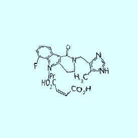 Cc1[nH]cnc1CN1CCc2c(c3cccc(F)c3n2C(C)C)C1=O.O=C(O)/C=C\C(=O)O